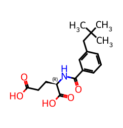 CC(C)(C)Cc1cccc(C(=O)N[C@H](CCC(=O)O)C(=O)O)c1